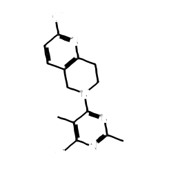 Cc1nc(Cl)c(C)c(N2CCc3nc(C(F)(F)F)ccc3C2)n1